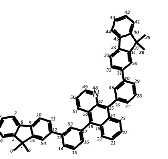 CC1(C)c2ccccc2-c2ccc(-c3cccc(-c4c5ccccc5c(-c5cccc(-c6ccc7c(c6)C(C)(C)c6ccccc6-7)c5)c5ncccc45)c3)cc21